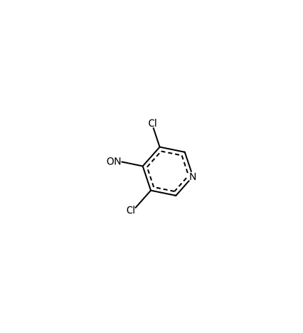 O=Nc1c(Cl)cncc1Cl